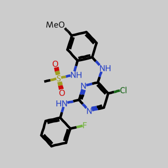 COc1ccc(Nc2nc(Nc3ccccc3F)ncc2Cl)c(NS(C)(=O)=O)c1